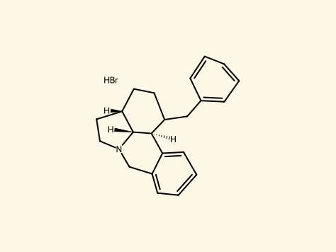 Br.c1ccc(CC2CC[C@H]3CCN4Cc5ccccc5[C@H]2[C@@H]34)cc1